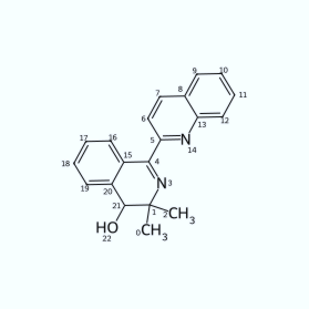 CC1(C)N=C(c2ccc3ccccc3n2)c2ccccc2C1O